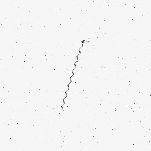 [CH]=CC=CC=CC=CC=CC=CC=CC=CC=CCCCCCCCCCCC